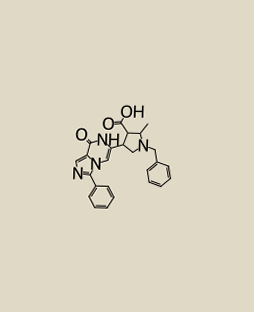 CC1C(C(=O)O)C(c2cn3c(-c4ccccc4)ncc3c(=O)[nH]2)CN1Cc1ccccc1